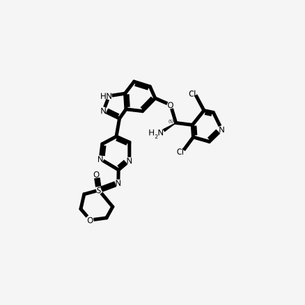 N[C@@H](Oc1ccc2[nH]nc(-c3cnc(N=S4(=O)CCOCC4)nc3)c2c1)c1c(Cl)cncc1Cl